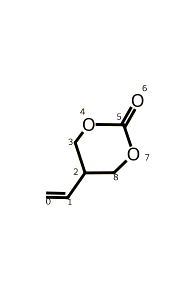 C=CC1COC(=O)OC1